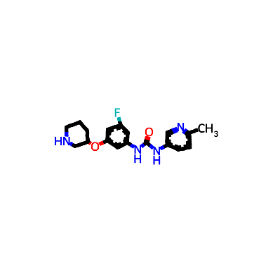 Cc1ccc(NC(=O)Nc2cc(F)cc(OC3CCCNC3)c2)cn1